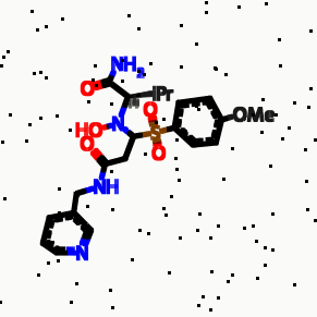 COc1ccc(S(=O)(=O)C(CC(=O)NCc2cccnc2)N(O)[C@@H](C(N)=O)C(C)C)cc1